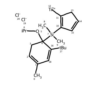 CC1=CCC(OC(C)C)([Si](C)(C)C2=[C]([Ti+2])CC=C2)C(C(C)(C)C)=C1.[Cl-].[Cl-]